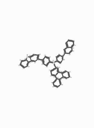 c1ccc2cc(-c3ccc(N(c4ccc(-c5ccc6oc7ccccc7c6c5)cc4)c4ccc5c6ccccc6c6ccccc6c5c4)cc3)ccc2c1